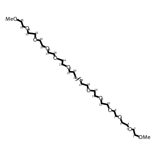 COCCOCCOCCOCCOCCOCCSSCCOCCOCCOCCOCCOCCOC